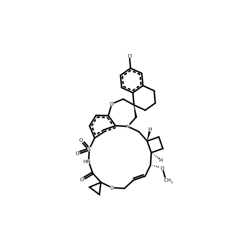 CO[C@@H]1/C=C/COC2(CC2)C(=O)NS(=O)(=O)c2ccc3c(c2)N(C[C@@H]2CC[C@H]21)C[C@@]1(CCCc2cc(Cl)ccc21)CO3